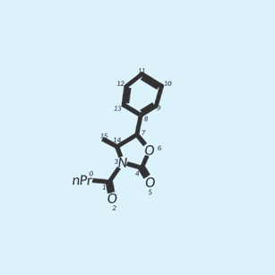 CCCC(=O)N1C(=O)OC(c2ccccc2)C1C